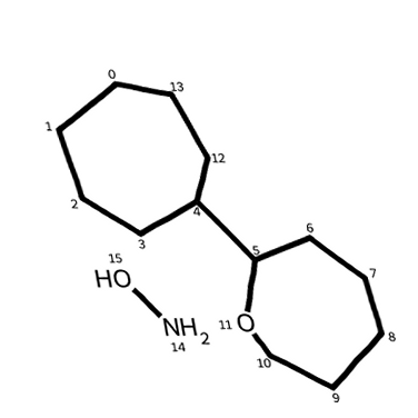 C1CCCC(C2CCCCCO2)CC1.NO